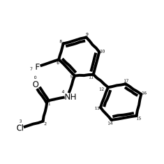 O=C(CCl)Nc1c(F)cccc1-c1ccccc1